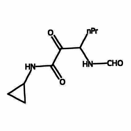 CCCC(NC=O)C(=O)C(=O)NC1CC1